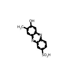 Cc1cc2nc3cc(S(=O)(=O)O)ccc3nc2cc1O